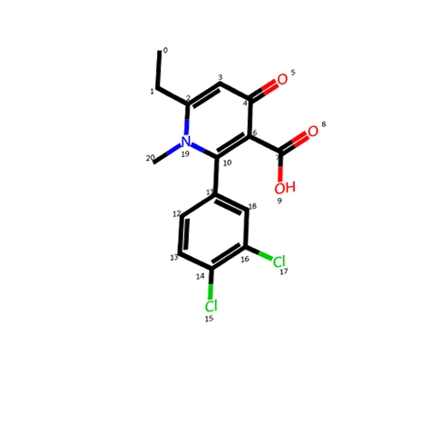 CCc1cc(=O)c(C(=O)O)c(-c2ccc(Cl)c(Cl)c2)n1C